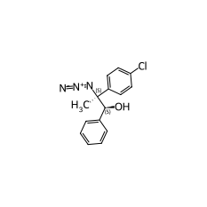 C[C@](N=[N+]=[N-])(c1ccc(Cl)cc1)[C@@H](O)c1ccccc1